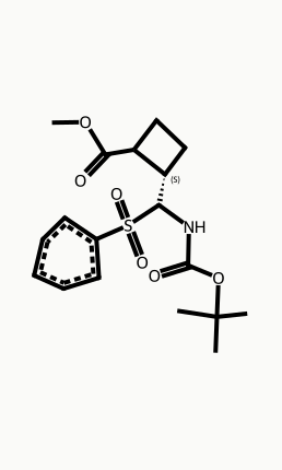 COC(=O)C1CC[C@@H]1C(NC(=O)OC(C)(C)C)S(=O)(=O)c1ccccc1